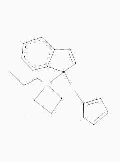 CCC[Si]1([C]2([Zr+2][C]3=CC=CC3)C=Cc3ccccc32)CCC1.[Cl-].[Cl-]